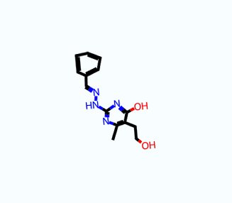 Cc1nc(NN=Cc2ccccc2)nc(O)c1CCO